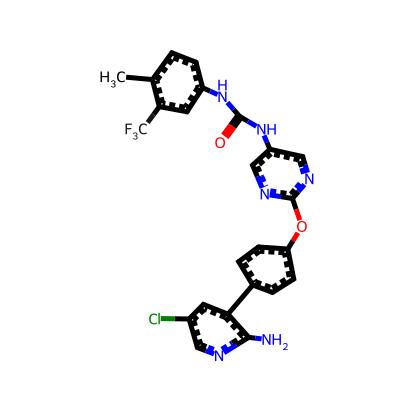 Cc1ccc(NC(=O)Nc2cnc(Oc3ccc(-c4cc(Cl)cnc4N)cc3)nc2)cc1C(F)(F)F